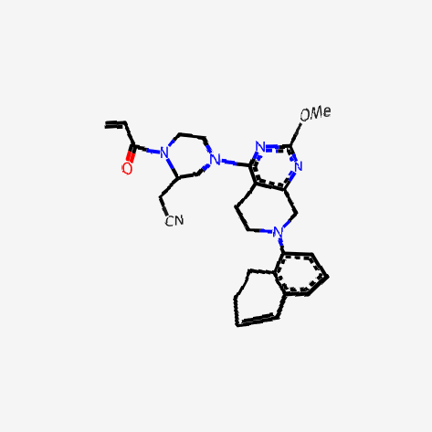 C=CC(=O)N1CCN(c2nc(OC)nc3c2CCN(c2cccc4c2CCC=C4)C3)CC1CC#N